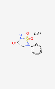 O=C1CN(c2ccccc2)S(=O)(=O)N1.[NaH]